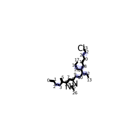 C=C/C=C\C(=C)c1cc(/C=C/C(=C\C)C(/C=C\C)=C/CC/C=C/Cl)nc(C)n1